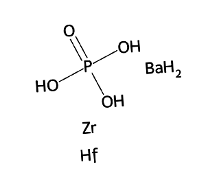 O=P(O)(O)O.[BaH2].[Hf].[Zr]